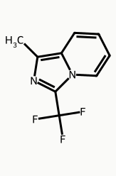 Cc1nc(C(F)(F)F)n2ccccc12